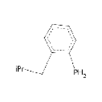 CC(C)Cc1ccccc1P